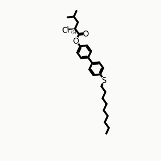 CCCCCCCCCSc1ccc(-c2ccc(OC(=O)[C@@H](Cl)CC(C)C)cc2)cc1